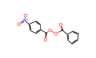 O=C(OOC(=O)c1ccc([N+](=O)[O-])cc1)c1ccccc1